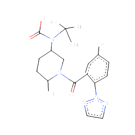 Cc1ccc(-n2nccn2)c(C(=O)N2CC(N(C(=O)O)C(C)(C)C)CCC2C)c1